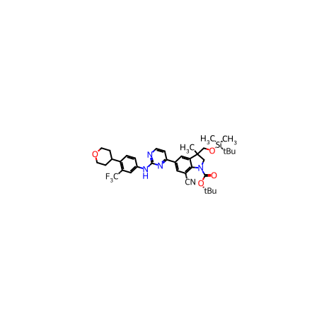 CC(C)(C)OC(=O)N1CC(C)(CO[Si](C)(C)C(C)(C)C)c2cc(-c3ccnc(Nc4ccc(C5CCOCC5)c(C(F)(F)F)c4)n3)cc(C#N)c21